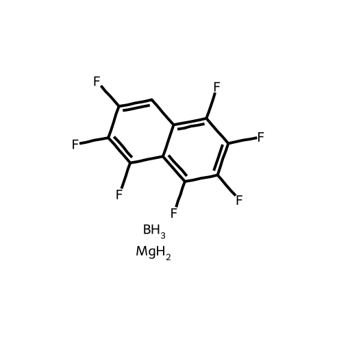 B.Fc1cc2c(F)c(F)c(F)c(F)c2c(F)c1F.[MgH2]